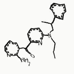 CCCN(CC(C)c1ccccc1)c1cccc(C(=O)c2cccnc2N)n1